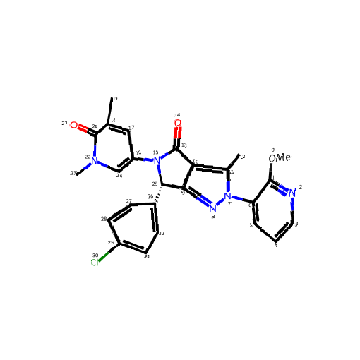 COc1ncccc1-n1nc2c(c1C)C(=O)N(c1cc(C)c(=O)n(C)c1)[C@H]2c1ccc(Cl)cc1